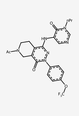 CCCn1cncc(Nc2nn(-c3ccc(OC(F)(F)F)cc3)c(=O)c3c2CCN(C(C)=O)C3)c1=O